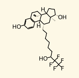 C=C[C@@]12CCc3cc(O)ccc3[C@H]1[C@@H](CCCCCCC(O)C(F)(F)C(F)(F)F)C[C@@]1(C)[C@H]2CC[C@@H]1O